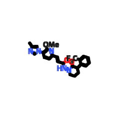 COc1nc(/C=C/C(=O)NN2CCCC(c3ccccc3C(F)(F)F)C2=O)ccc1-n1cnc(C)c1